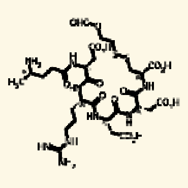 C[C@@H](N)CCC(=O)N[C@@H](CC(=O)O)C(=O)N[C@@H](CCCNC(=N)N)C(=O)N[C@@H](CC(=O)O)C(=O)N[C@@H](CC(=O)O)C(=O)N[C@@H](CSSCCOC=O)C(=O)O